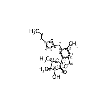 CCCc1ccc(Cc2cc3c(cc2C)CO[C@]32O[C@H](C)C(C)[C@H](O)C2=O)s1